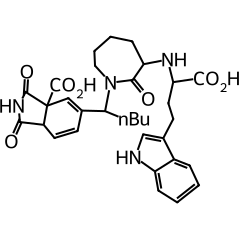 CCCCC(C1=CC2(C(=O)O)C(=O)NC(=O)C2C=C1)N1CCCCC(NC(CCc2c[nH]c3ccccc23)C(=O)O)C1=O